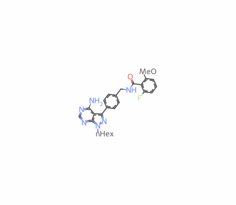 CCCCCCn1nc(-c2ccc(CNC(=O)c3c(F)cccc3OC)cc2)c2c(N)ncnc21